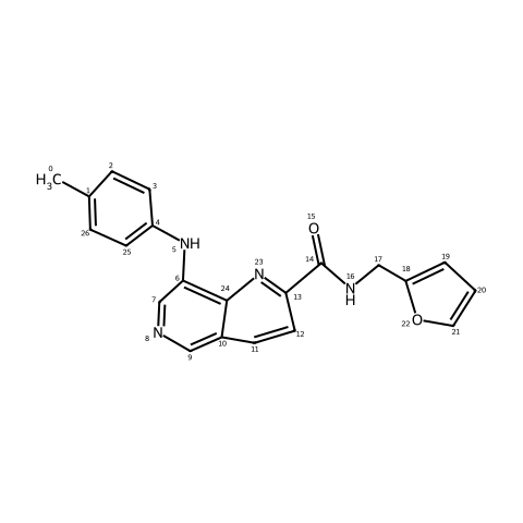 Cc1ccc(Nc2cncc3ccc(C(=O)NCc4ccco4)nc23)cc1